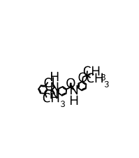 Cc1cccc(Cl)c1-c1nc2ccc(C(=O)Nc3cccc(OC(C)C)c3)cc2[nH]1